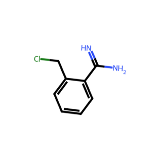 N=C(N)c1ccccc1CCl